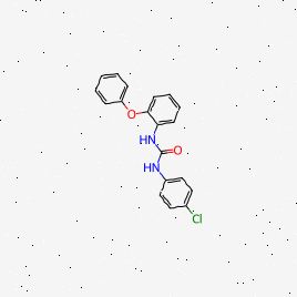 O=C(Nc1ccc(Cl)cc1)Nc1ccccc1Oc1ccccc1